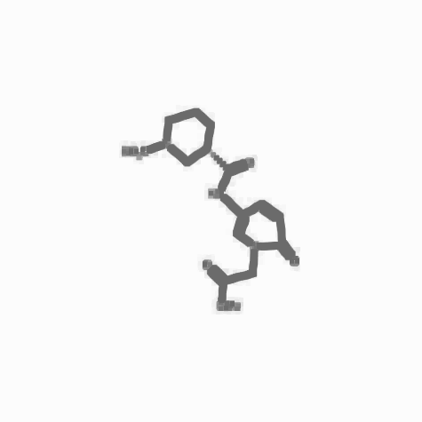 COC(=O)Cn1cc(NC(=O)[C@H]2CCCN(C(=O)O)C2)ccc1=O